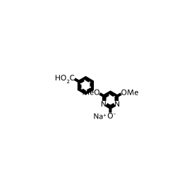 COc1cc(OC)nc([O-])n1.O=C(O)c1ccccc1.[Na+]